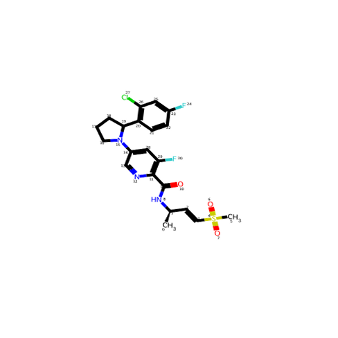 C[C@H](/C=C/S(C)(=O)=O)NC(=O)c1ncc(N2CCCC2c2ccc(F)cc2Cl)cc1F